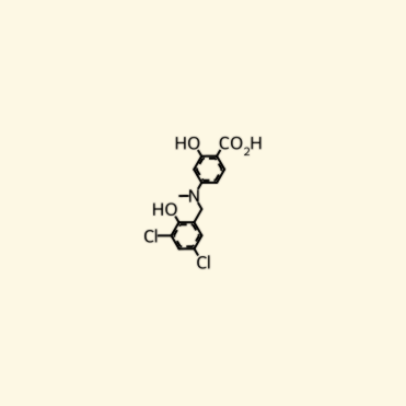 CN(Cc1cc(Cl)cc(Cl)c1O)c1ccc(C(=O)O)c(O)c1